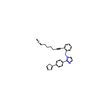 C=C=CCCCCC#Cc1ccccc1Cn1ccnc1-c1ccc(C2=CC=CC2)cc1